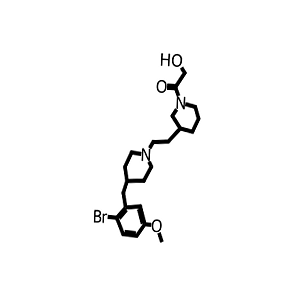 COc1ccc(Br)c(CC2CCN(CCC3CCCN(C(=O)CO)C3)CC2)c1